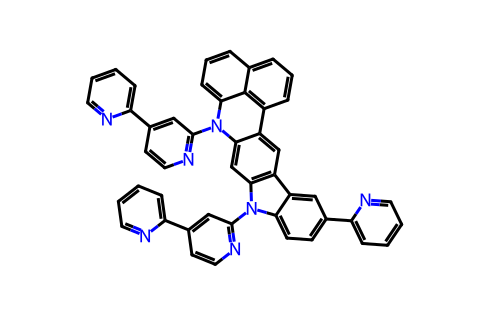 c1ccc(-c2ccnc(N3c4cc5c(cc4-c4cccc6cccc3c46)c3cc(-c4ccccn4)ccc3n5-c3cc(-c4ccccn4)ccn3)c2)nc1